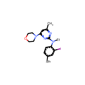 CCCc1ccc(N(CC)c2nc(C)cc(N3CCOCC3)n2)c(I)c1